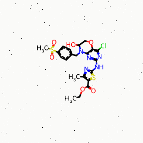 CCOC(=O)c1sc(Nc2nc(Cl)c3c(n2)N(Cc2ccc(S(C)(=O)=O)cc2)C(O)CO3)nc1C